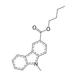 CCCCOC(=O)c1ccc2c(c1)c1ccccc1n2C